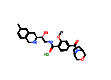 CCOc1cc(C(=O)N2C3CCC2COC3)ccc1C(=O)NC[C@@H](O)[C@@H]1Cc2cc(C)ccc2CN1.Cl